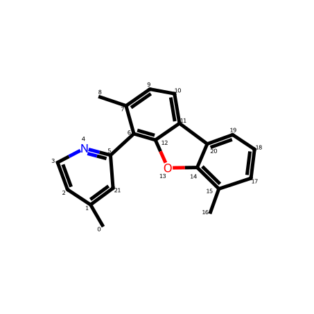 Cc1ccnc(-c2c(C)ccc3c2oc2c(C)cccc23)c1